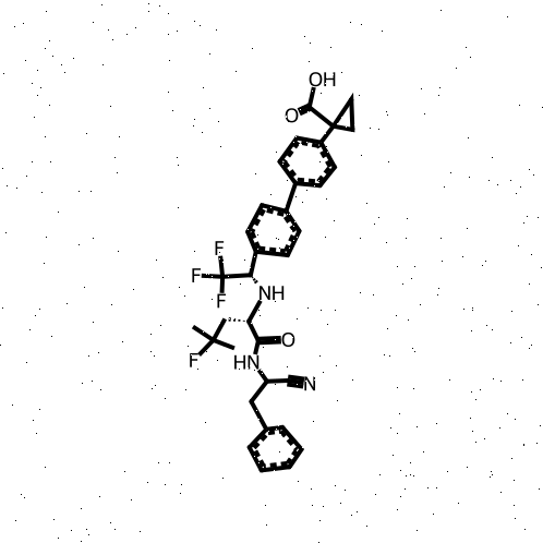 CC(C)(F)C[C@H](N[C@@H](c1ccc(-c2ccc(C3(C(=O)O)CC3)cc2)cc1)C(F)(F)F)C(=O)NC(C#N)Cc1ccccc1